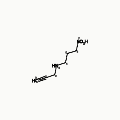 C#CCNCCCS(=O)(=O)O